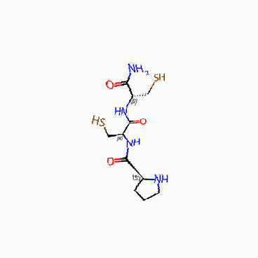 NC(=O)[C@H](CS)NC(=O)[C@H](CS)NC(=O)[C@@H]1CCCN1